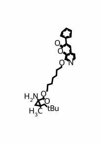 CC(C)(C)CC1(C)CC1(N)C(=O)OCCCCCCCOc1nccc2cc(-c3ccccc3)c(=O)oc12